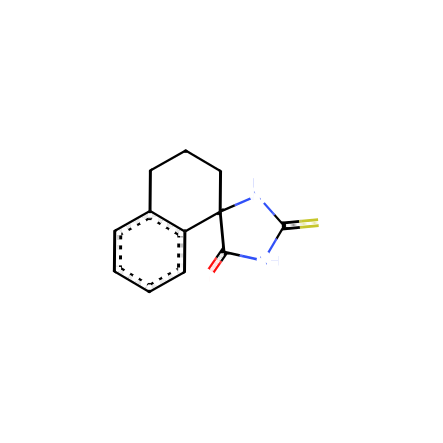 O=C1NC(=S)NC12CCCc1ccccc12